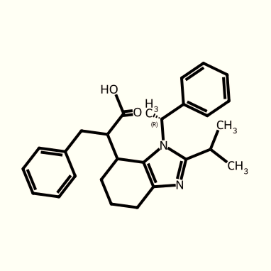 CC(C)c1nc2c(n1[C@H](C)c1ccccc1)C(C(Cc1ccccc1)C(=O)O)CCC2